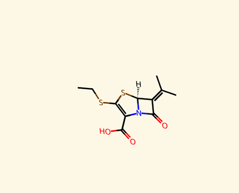 CCSC1=C(C(=O)O)N2C(=O)C(=C(C)C)[C@@H]2S1